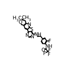 CC1(C)Cc2nc3sc4c(NCCc5ccc(NC(=O)C(F)(F)F)c(F)c5)ncnc4c3cc2CO1